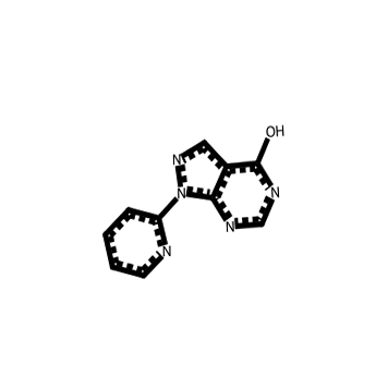 Oc1ncnc2c1cnn2-c1ccccn1